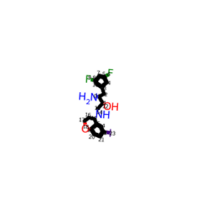 NC(Cc1cc(F)cc(F)c1)C(O)CN[C@H]1CCOc2ccc(I)cc21